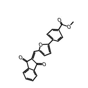 COC(=O)c1ccc(-c2ccc(C=C3C(=O)c4ccccc4C3=O)o2)cc1